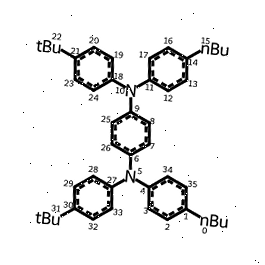 CCCCc1ccc(N(c2ccc(N(c3ccc(CCCC)cc3)c3ccc(C(C)(C)C)cc3)cc2)c2ccc(C(C)(C)C)cc2)cc1